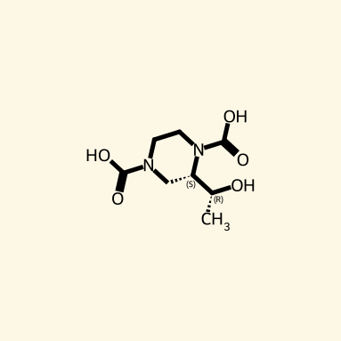 C[C@@H](O)[C@@H]1CN(C(=O)O)CCN1C(=O)O